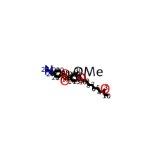 C=CC(=O)CCCCCCCOc1ccc(C(=O)Oc2ccc(/C=N/C)cc2)cc1OC